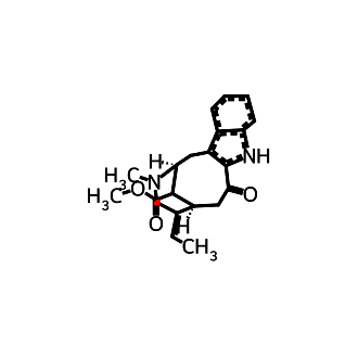 C/C=C1/CN(C)[C@H]2Cc3c([nH]c4ccccc34)C(=O)C[C@@H]1C2C(=O)OC